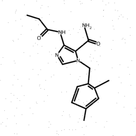 CCC(=O)Nc1ncn(Cc2ccc(C)cc2C)c1C(N)=O